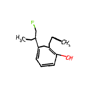 CCc1c(O)cccc1[C](C)CF